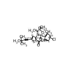 CCOP(=O)(c1ccc(Cl)cc1C)N(c1cc(C#CC(C)(C)C)sc1C(=O)O)C(C)C